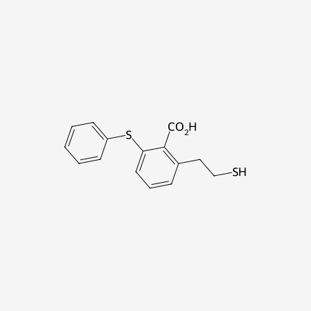 O=C(O)c1c(CCS)cccc1Sc1ccccc1